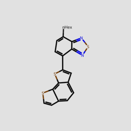 CCCCCCc1ccc(-c2cc3ccc4ccsc4c3s2)c2nsnc12